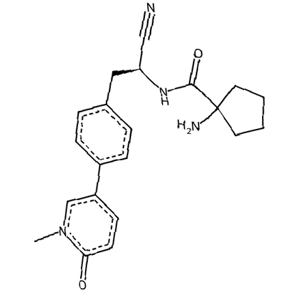 Cn1cc(-c2ccc(C[C@@H](C#N)NC(=O)C3(N)CCCC3)cc2)ccc1=O